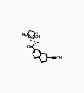 C#Cc1ccc2cnc(C(=O)N[C@@H]3C[C@H]4CC[C@@H]3N4)cc2c1